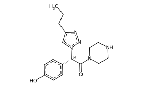 CCCc1cn([C@H](C(=O)N2CCNCC2)c2ccc(O)cc2)nn1